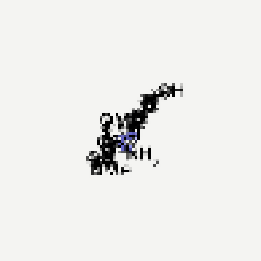 CNC(=O)n1ccc2cc(OC(/C=C/N)=C/C=N\C(=O)c3ccc(C4CCN(CCO)CC4)cc3)c(OCCCOC)cc21